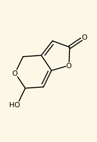 O=C1C=C2COC(O)C=C2O1